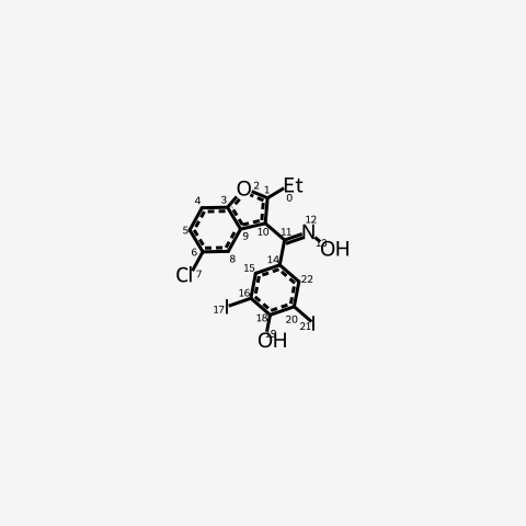 CCc1oc2ccc(Cl)cc2c1C(=NO)c1cc(I)c(O)c(I)c1